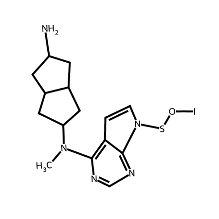 CN(c1ncnc2c1ccn2SOI)C1CC2CC(N)CC2C1